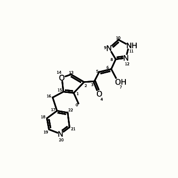 Cc1c(C(=O)C=C(O)c2nc[nH]n2)coc1Cc1ccncc1